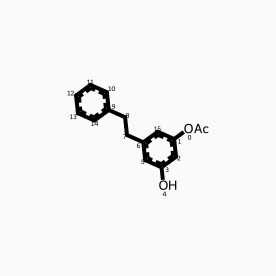 CC(=O)Oc1cc(O)cc(CCc2ccccc2)c1